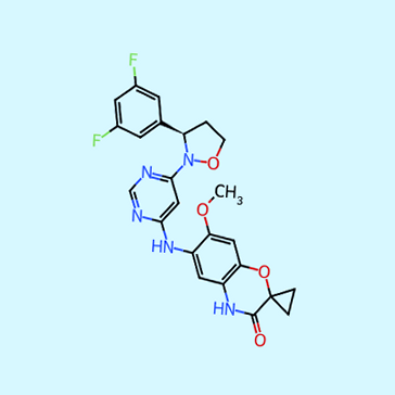 COc1cc2c(cc1Nc1cc(N3OCC[C@@H]3c3cc(F)cc(F)c3)ncn1)NC(=O)C1(CC1)O2